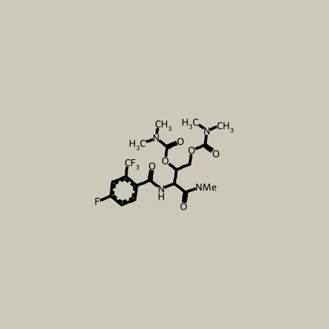 CNC(=O)C(NC(=O)c1ccc(F)cc1C(F)(F)F)C(COC(=O)N(C)C)OC(=O)N(C)C